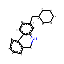 c1ccc2c(c1)CNc1cc(CC3CCCCC3)ccc1-2